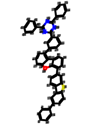 c1ccc(-c2ccc3sc4cc(-c5cccc6c5oc5cccc(-c7cccc(-c8nc(-c9ccccc9)nc(-c9ccccc9)n8)c7)c56)ccc4c3c2)cc1